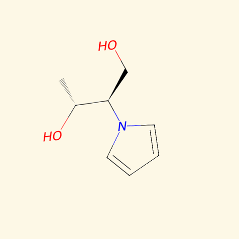 C[C@@H](O)[C@@H](CO)n1cccc1